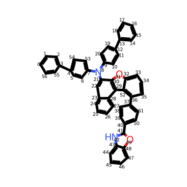 c1ccc(-c2ccc(N(c3ccc(-c4ccccc4)cc3)c3cc4ccccc4c4c3oc3cccc(-c5ccc(C6Nc7ccccc7O6)cc5)c34)cc2)cc1